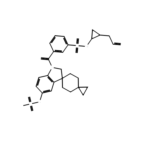 C=CCC1CC1NS(=O)(=O)c1cccc(C(=O)N2CC3(CCC4(CC4)CC3)c3cc(NS(C)(=O)=O)ccc32)c1